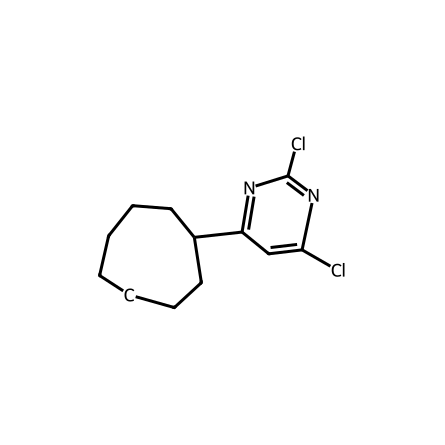 Clc1cc(C2CCCCCCC2)nc(Cl)n1